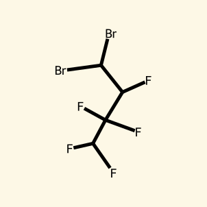 FC(F)C(F)(F)C(F)C(Br)Br